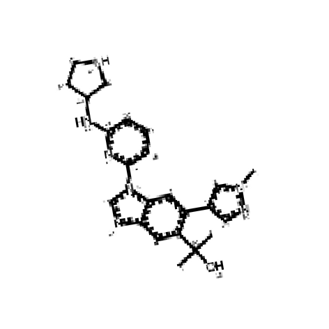 Cn1cc(-c2cc3c(cc2C(C)(C)O)ncn3-c2cccc(NC3CCNC3)n2)cn1